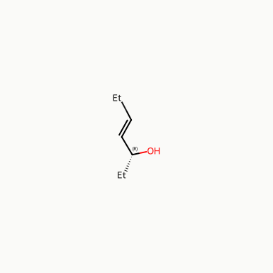 CCC=C[C@H](O)CC